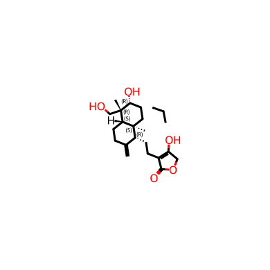 C=C1CC[C@@H]2[C@](C)(CO)[C@H](O)CC[C@@]2(C)[C@@H]1CCC1=C(O)COC1=O.CCC